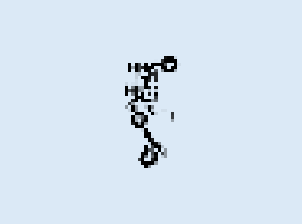 CN1C(=O)[C@@H](NC(=O)c2n[nH]c(Cc3ccccc3)n2)COc2ccc(C#Cc3cnc4ccccn34)cc21